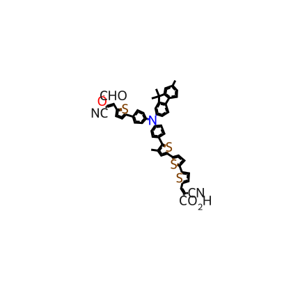 Cc1ccc2c(c1)C(C)(C)c1cc(N(c3ccc(-c4ccc(/C=C(\C#N)OC=O)s4)cc3)c3ccc(-c4sc(-c5ccc(-c6ccc(/C=C(\C#N)C(=O)O)s6)s5)cc4C)cc3)ccc1-2